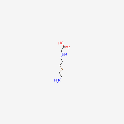 NCCSCCCNCC(=O)O